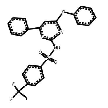 O=S(=O)(Nc1nc(Oc2ccccc2)cc(-c2ccccc2)n1)c1ccc(C(F)(F)F)cc1